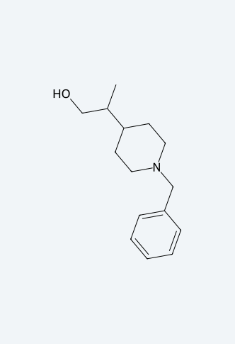 CC(CO)C1CCN(Cc2ccccc2)CC1